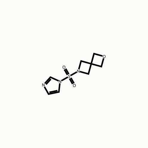 O=S(=O)(N1CC2(COC2)C1)n1ccnc1